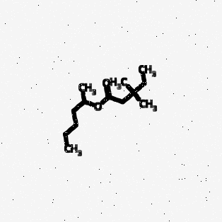 CCCCC(C)OC(=O)CC(C)(C)CC